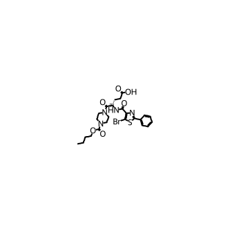 CCCCOC(=O)N1CCN(C(=O)[C@H](CCC(=O)O)NC(=O)c2nc(-c3ccccc3)sc2Br)CC1